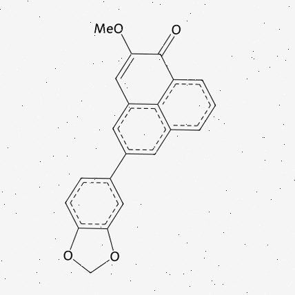 COC1=Cc2cc(-c3ccc4c(c3)OCO4)cc3cccc(c23)C1=O